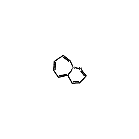 C1=CC=C2C=CC=NN2C=C1